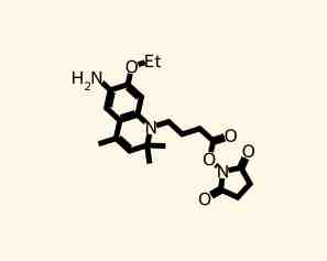 CCOc1cc2c(cc1N)C(C)=CC(C)(C)N2CCCC(=O)ON1C(=O)CCC1=O